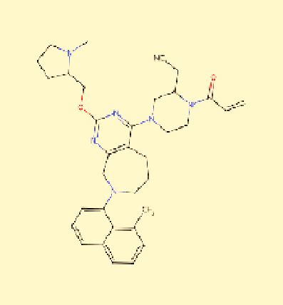 C=CC(=O)N1CCN(c2nc(OCC3CCCN3C)nc3c2CCCN(c2cccc4cccc(C(F)(F)F)c24)C3)CC1CC#N